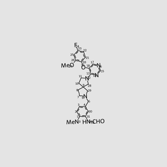 CNc1ccc(CN2CCC3(CCN(c4ncncc4Oc4ccc(F)cc4OC)C3)C2)cc1NC=O